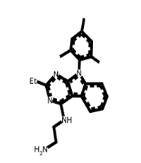 CCc1nc(NCCN)c2c3ccccc3n(-c3c(C)cc(C)cc3C)c2n1